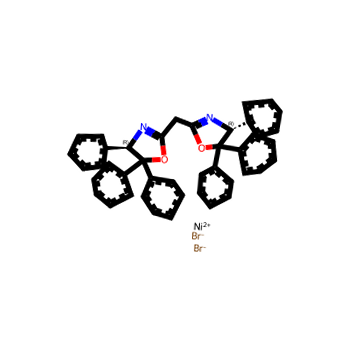 [Br-].[Br-].[Ni+2].c1ccc([C@H]2N=C(CC3=N[C@H](c4ccccc4)C(c4ccccc4)(c4ccccc4)O3)OC2(c2ccccc2)c2ccccc2)cc1